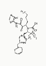 CCCC[C@H](C(=O)C(=O)Nc1ccn[nH]1)N(C(=O)O)[C@H](Cn1cnc(Cc2ccccc2)c1)C(C)(C)C